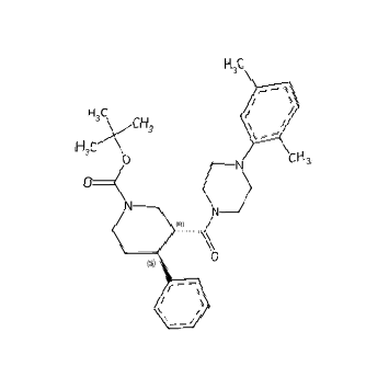 Cc1ccc(C)c(N2CCN(C(=O)[C@H]3CN(C(=O)OC(C)(C)C)CC[C@@H]3c3ccccc3)CC2)c1